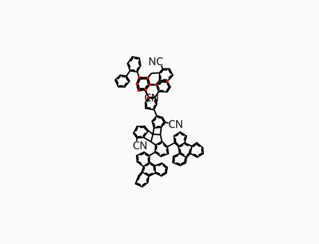 N#Cc1cccc2c1C1c3cccc(C#N)c3C2c2c(-c3ccc(-c4cc(C#N)c5c(c4)C46c7cccc(C#N)c7C4c4c(-c7cccc8c9ccccc9c9ccccc9c78)ccc(-c7cccc8c9ccccc9c9ccccc9c78)c4C56)cc3-c3ccccc3)ccc(-c3ccccc3-c3ccccc3)c21